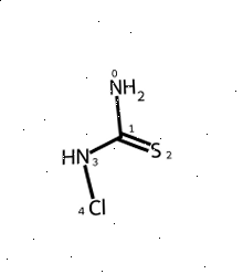 NC(=S)NCl